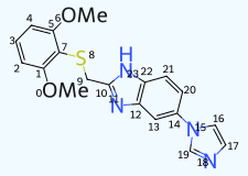 COc1cccc(OC)c1SCc1nc2cc(-n3ccnc3)ccc2[nH]1